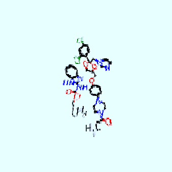 CC(=O)N1CCN(c2ccc(OC[C@H]3CO[C@](Cn4ccnc4)(c4ccc(Cl)cc4Cl)O3)cc2)CC1.CCOC(=O)Nc1nc2ccccc2[nH]1